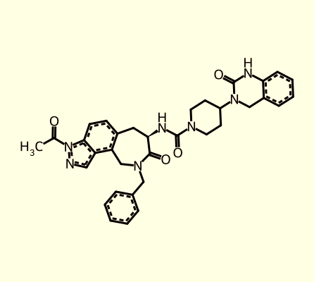 CC(=O)n1ncc2c3c(ccc21)C[C@@H](NC(=O)N1CCC(N2Cc4ccccc4NC2=O)CC1)C(=O)N(Cc1ccccc1)C3